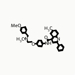 COc1ccc(CN(C)CCOc2ccc(NC(=O)c3cc(-c4ccccc4)nc4ccc(C)cc34)cc2)cc1